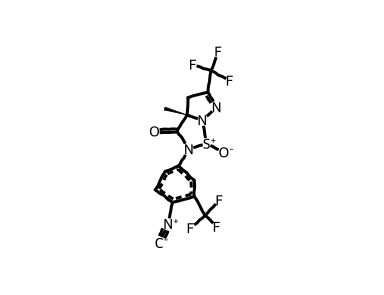 [C-]#[N+]c1ccc(N2C(=O)[C@]3(C)CC(C(F)(F)F)=NN3[S+]2[O-])cc1C(F)(F)F